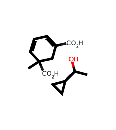 CC(O)C1CC1.CC1(C(=O)O)C=CC=C(C(=O)O)C1